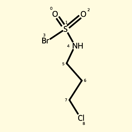 O=S(=O)(Br)NCCCCl